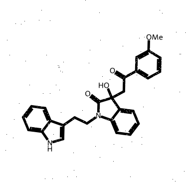 COc1cccc(C(=O)CC2(O)C(=O)N(CCc3c[nH]c4ccccc34)c3ccccc32)c1